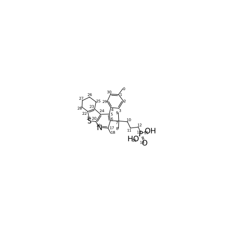 Cc1ccc(-c2c(C(C)(C)CCCP(=O)(O)O)c(C)nc3sc4c(c23)CCCC4)cc1